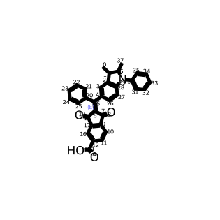 CC1c2cc(/C(=C3\C(=O)c4ccc(C(=O)O)cc4C3=O)c3ccccc3)ccc2N(c2ccccc2)C1C